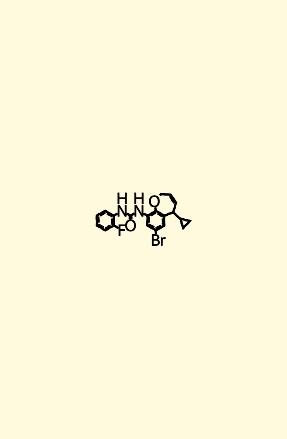 O=C(Nc1ccccc1F)Nc1cc(Br)cc2c1OCC=CC2C1CC1